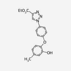 CCOC(=O)c1cn(-c2ccc(Oc3ccc(C)cc3O)cc2)nn1